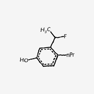 CCCc1ccc(O)cc1C(C)F